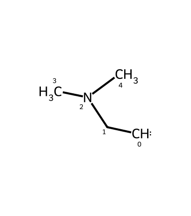 [CH]CN(C)C